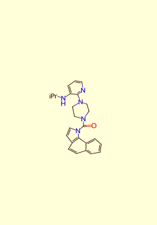 CC(C)Nc1cccnc1N1CCN(C(=O)n2ccc3ccc4ccccc4c32)CC1